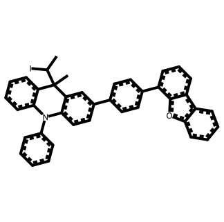 CC(I)C1(C)c2ccccc2N(c2ccccc2)c2ccc(-c3ccc(-c4cccc5c4oc4ccccc45)cc3)cc21